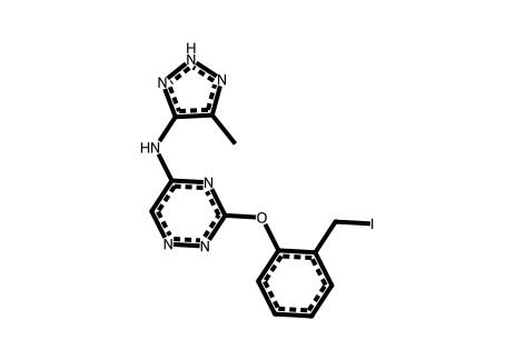 Cc1n[nH]nc1Nc1cnnc(Oc2ccccc2CI)n1